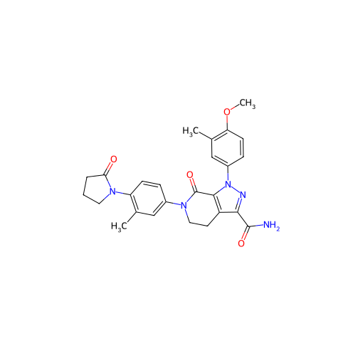 COc1ccc(-n2nc(C(N)=O)c3c2C(=O)N(c2ccc(N4CCCC4=O)c(C)c2)CC3)cc1C